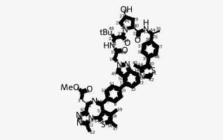 COC(=O)C[C@@H]1N=C(c2ccc(-c3cccc4nn(CC(=O)NC(C(=O)N5C[C@H](O)C[C@H]5C(=O)N[C@@H](C)c5ccc(-c6scnc6C)cc5)C(C)(C)C)cc34)cc2)c2c(sc(C)c2C)-n2c(C)nnc21